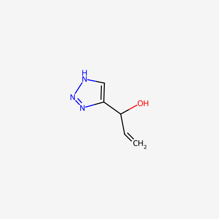 C=CC(O)c1c[nH]nn1